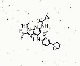 CSc1cc(C2CCCO2)ccc1Nc1cc(NC(=O)C2CC2)nc2c1nc(C(F)F)n2PI